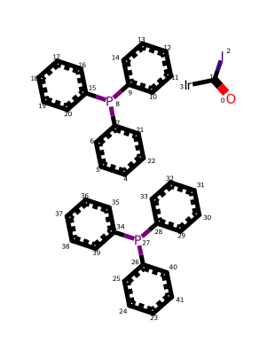 O=[C](I)[Ir].c1ccc(P(c2ccccc2)c2ccccc2)cc1.c1ccc(P(c2ccccc2)c2ccccc2)cc1